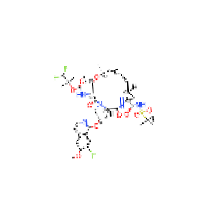 CC[C@@H]1O[C@H](C)CCC=C[C@@H]2C[C@@]2(C(=O)NS(=O)(=O)C2(C)CC2)NC(=O)[C@@H]2C[C@@H](Oc3nccc4cc(OC)c(F)cc34)CN2C(=O)[C@H]1NC(=O)OC(C)(C)C(F)F